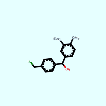 COc1ccc(C(O)c2ccc(CBr)cc2)cc1OC